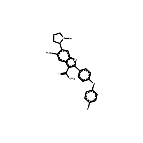 CNC(=O)c1c(-c2ccc(Oc3ccc(F)cc3)cc2)oc2cc(C3CCCN3C(C)=O)c(OC)cc12